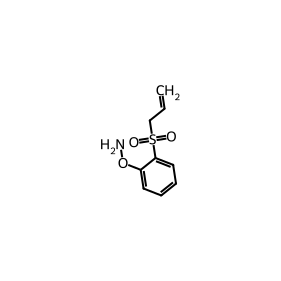 C=CCS(=O)(=O)c1ccccc1ON